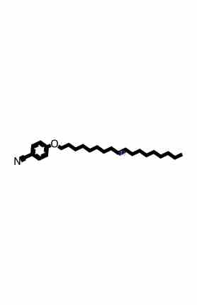 CCCCCCCC/C=C/CCCCCCCCOc1ccc(C#N)cc1